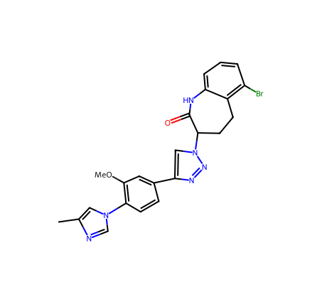 COc1cc(-c2cn(C3CCc4c(Br)cccc4NC3=O)nn2)ccc1-n1cnc(C)c1